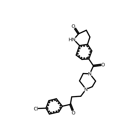 O=C1CCc2cc(C(=O)N3CCN(CCC(=O)c4ccc(Cl)cc4)CC3)ccc2N1